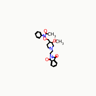 COC1CN(CCN2C(=O)c3ccccc3C2=O)CCC1CON(C(C)=O)c1ccccc1